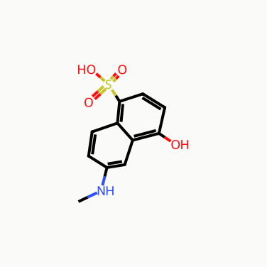 CNc1ccc2c(S(=O)(=O)O)ccc(O)c2c1